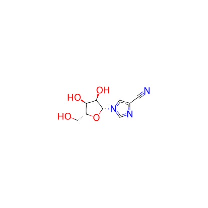 N#Cc1cn([C@@H]2O[C@H](CO)[C@@H](O)[C@H]2O)cn1